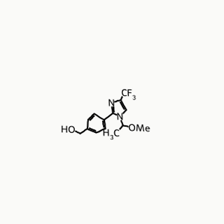 COC(C)n1cc(C(F)(F)F)nc1-c1ccc(CO)cc1